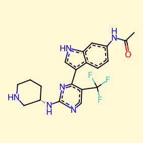 CC(=O)Nc1ccc2c(-c3nc(N[C@H]4CCCNC4)ncc3C(F)(F)F)c[nH]c2c1